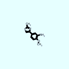 COc1ccc(-c2csc(C)n2)cc1N